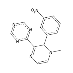 CN1C=CN=C(c2ncncn2)C1c1cccc([N+](=O)[O-])c1